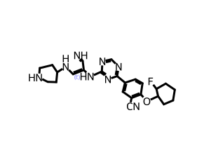 N#Cc1cc(-c2ncnc(N/C(C=N)=C/NC3CCNCC3)n2)ccc1OC1CCCCC1F